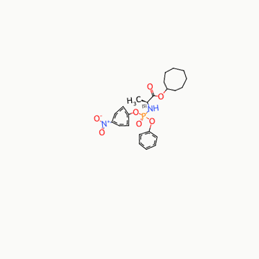 C[C@H](NP(=O)(Oc1ccccc1)Oc1ccc([N+](=O)[O-])cc1)C(=O)OC1CCCCCCC1